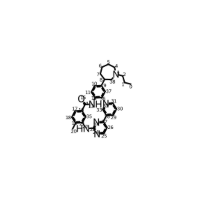 CCCN1CCCCC(c2ccc(NC(=O)c3ccc(C)c(Nc4nccc(-c5cccnc5)n4)c3)cc2)C1